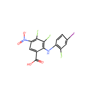 O=C(O)c1cc([N+](=O)[O-])c(F)c(F)c1Nc1ccc(I)cc1F